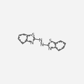 c1ccc2sc(N=Nc3nc4ccccc4s3)nc2c1